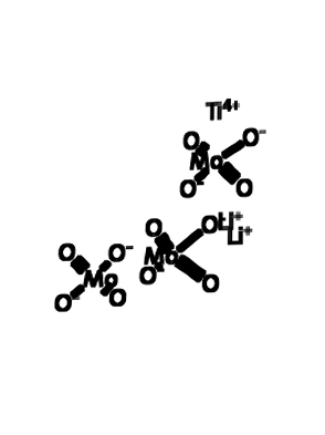 [Li+].[Li+].[O]=[Mo](=[O])([O-])[O-].[O]=[Mo](=[O])([O-])[O-].[O]=[Mo](=[O])([O-])[O-].[Ti+4]